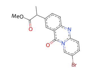 COC(=O)C(C)c1ccc2nc3ccc(Br)cn3c(=O)c2c1